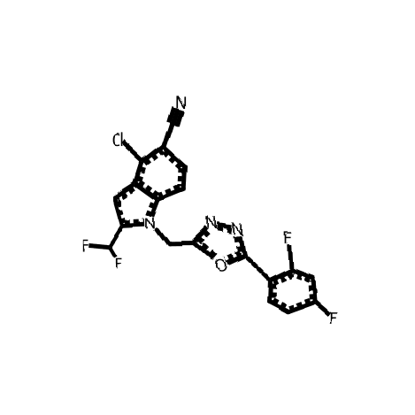 N#Cc1ccc2c(cc(C(F)F)n2Cc2nnc(-c3ccc(F)cc3F)o2)c1Cl